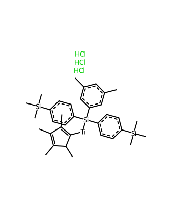 CC1=C(C)C(C)[C]([Ti][Si](c2ccc([Si](C)(C)C)cc2)(c2ccc([Si](C)(C)C)cc2)c2cc(C)cc(C)c2)=C1C.Cl.Cl.Cl